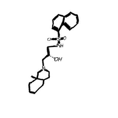 CC12CCCCC1CCN(C[C@@H](O)CNS(=O)(=O)c1cccc3ccccc13)C2